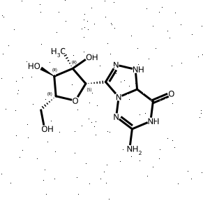 C[C@@]1(O)[C@H](O)[C@@H](CO)O[C@H]1C1=NNC2C(=O)NC(N)=NN12